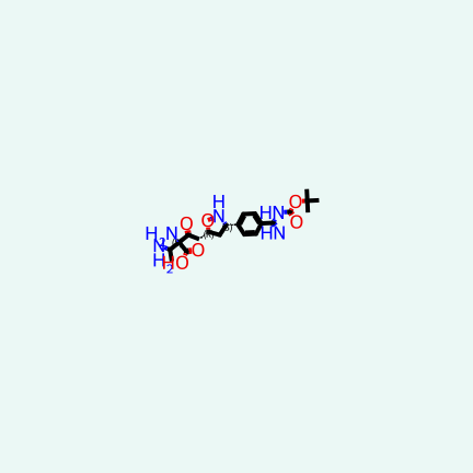 CC(N)[C@@](N)(C(=O)O)C(=O)C[C@H]1C[C@@H](c2ccc(C(=N)NC(=O)OC(C)(C)C)cc2)NO1